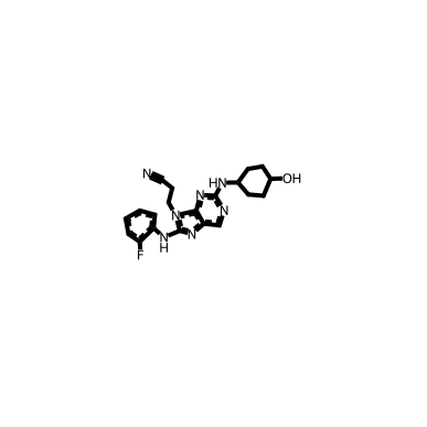 N#CCCn1c(Nc2ccccc2F)nc2cnc(NC3CCC(O)CC3)nc21